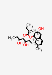 CC[C@@H](O)C[C@H](O)CC[C@@H]1[C@@H]2C(=C[C@@H](O)C[C@@H]2OC(=O)[C@@H](C)CC)C=C[C@H]1C